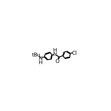 CC(C)(C)Nc1ccc(NC(=O)c2ccc(Cl)cc2)cc1